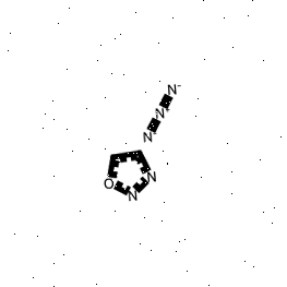 [N-]=[N+]=[N-].c1conn1